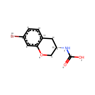 O=C(O)N[C@@H]1COc2cc(Br)ccc2C1